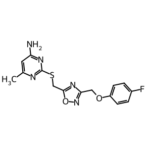 Cc1cc(N)nc(SCc2nc(COc3ccc(F)cc3)no2)n1